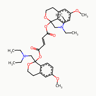 CCN(CC)CC1(OC(=O)/C=C/C(=O)OC2(CN(CC)CC)OCCc3cc(OC)ccc32)OCCc2cc(OC)ccc21